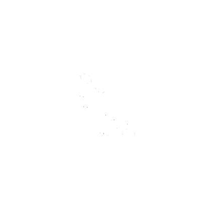 CC[C@H](C)C([C@@H](CC(=O)NCC1OC(C(=O)NCc2ccccc2)[C@@H](OC)[C@@H]1OC)OC)N(C)C(=O)[C@@H](N)C(C)C